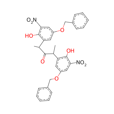 CC(C(=O)C(C)c1cc(OCc2ccccc2)cc([N+](=O)[O-])c1O)c1cc(OCc2ccccc2)cc([N+](=O)[O-])c1O